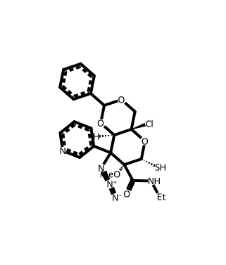 CCNC(=O)[C@]1(OC)[C@@H](S)O[C@@]2(Cl)COC(c3ccccc3)O[C@@H]2C1(N=[N+]=[N-])c1cccnc1